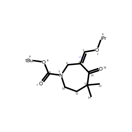 CC(C)O/C=C1/CN(C(=O)OC(C)(C)C)CCC(C)(C)C1=O